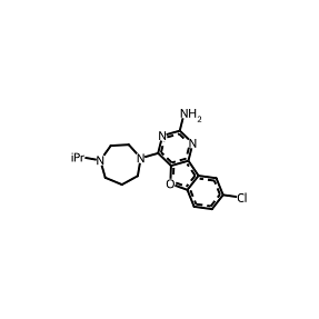 CC(C)N1CCCN(c2nc(N)nc3c2oc2ccc(Cl)cc23)CC1